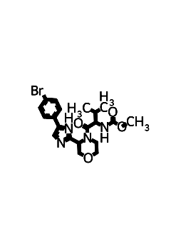 COC(=O)NC(C(=O)N1CCOCC1c1ncc(-c2ccc(Br)cc2)[nH]1)C(C)C